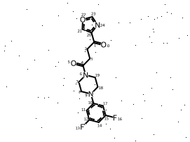 O=C(CCC(=O)N1CCN(c2cc(F)cc(F)c2)CC1)c1cocn1